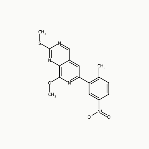 COc1nc(-c2cc([N+](=O)[O-])ccc2C)cc2cnc(SC)nc12